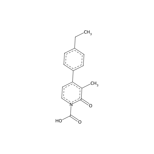 CCc1ccc(-c2ccn(C(=O)O)c(=O)c2C)cc1